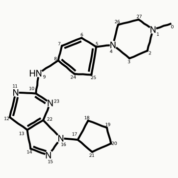 CN1CCN(c2ccc(Nc3ncc4cnn(C5CCCC5)c4n3)cc2)CC1